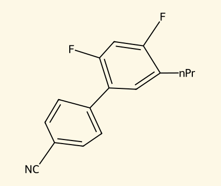 [CH2]CCc1cc(-c2ccc(C#N)cc2)c(F)cc1F